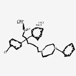 Cl.Cl.O=CNCC(CCCN1CCN(c2ccccc2)CC1)(c1ccccc1)c1ccc(Cl)cc1